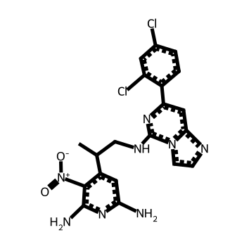 CC(CNc1nc(-c2ccc(Cl)cc2Cl)cc2nccn12)c1cc(N)nc(N)c1[N+](=O)[O-]